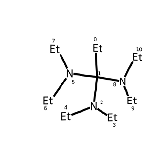 [CH2]CC(N(CC)CC)(N(CC)CC)N(CC)CC